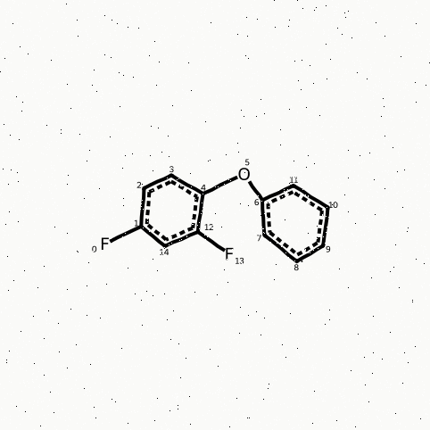 Fc1ccc(Oc2c[c]ccc2)c(F)c1